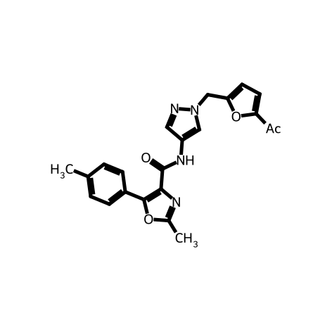 CC(=O)c1ccc(Cn2cc(NC(=O)c3nc(C)oc3-c3ccc(C)cc3)cn2)o1